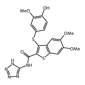 COc1cc(Sc2c(C(=O)Nc3nnn[nH]3)sc3cc(OC)c(OC)cc23)ccc1O